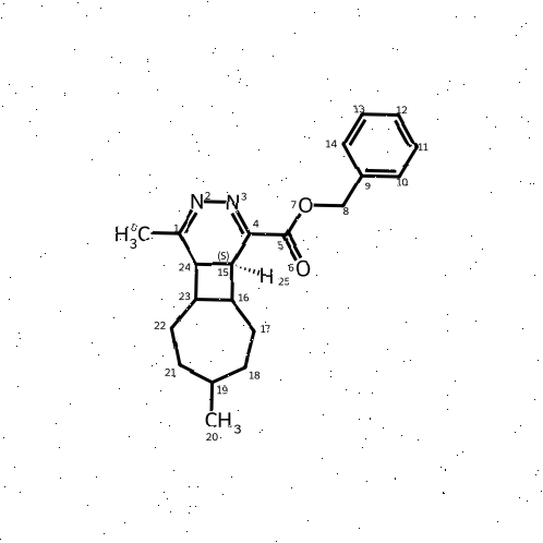 CC1=NN=C(C(=O)OCc2ccccc2)[C@H]2C3CCC(C)CCC3C12